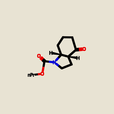 CCCOC(=O)N1CC[C@H]2C(=O)CCC[C@H]21